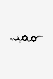 CSc1ccc(Oc2cccc(NC(=O)CN)c2)cc1